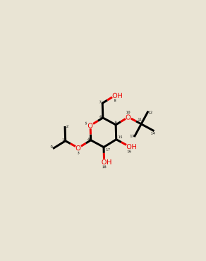 CC(C)OC1OC(CO)C(OC(C)(C)C)C(O)C1O